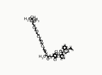 CN(CCOCCOCCOCCOCCOCCOCCC(=O)OC(C)(C)C)C(=O)CCc1cc(Cl)c(Oc2ccncc2C(=O)N2CCN(C3CC3)c3ccccc32)cc1Cl